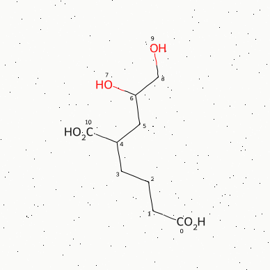 O=C(O)CCCC(CC(O)CO)C(=O)O